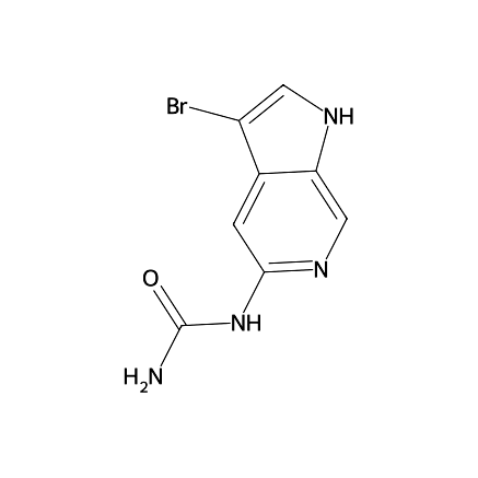 NC(=O)Nc1cc2c(Br)c[nH]c2cn1